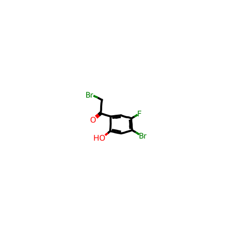 O=C(CBr)c1cc(F)c(Br)cc1O